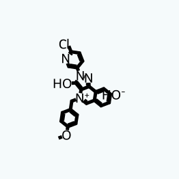 COc1ccc(C[n+]2cc3ccccc3c3nn(-c4ccc(Cl)nc4)c(O)c32)cc1.[OH-]